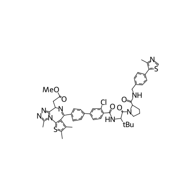 COC(=O)CC1N=C(c2ccc(-c3ccc(C(=O)NC(C(=O)N4CCCC4C(=O)NCc4ccc(-c5scnc5C)cc4)C(C)(C)C)c(Cl)c3)cc2)c2c(sc(C)c2C)-n2c(C)nnc21